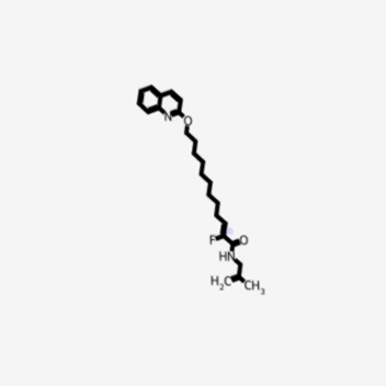 C=C(C)CNC(=O)/C(F)=C/CCCCCCCCCOc1ccc2ccccc2n1